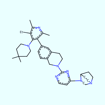 CCc1c(C)nc(C)c(-c2ccc3c(c2)CCN(c2nccc(N4CCN5CCC4CC5)n2)C3)c1N1CCC(C)(C)CC1